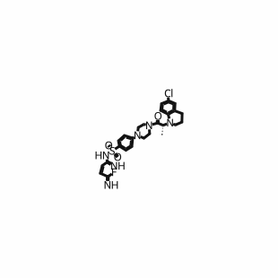 C[C@H](C(=O)N1CCN(c2ccc(S(=O)(=O)NC(=N)/C=C\C(=N)F)cc2)CC1)N1CCCc2cc(Cl)ccc21